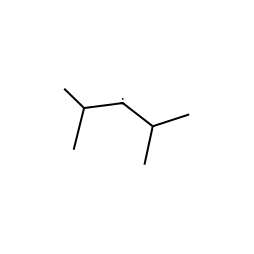 CC(C)[CH]C(C)C